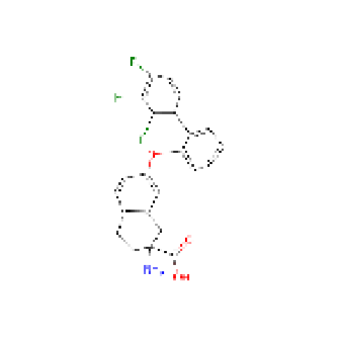 NC1(C(=O)O)CCc2ccc(Oc3ccccc3-c3ccc(F)c(F)c3F)cc2C1